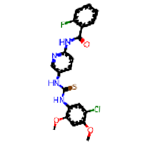 COc1cc(OC)c(NC(=S)Nc2ccc(NC(=O)c3ccccc3F)nc2)cc1Cl